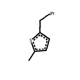 Cc1ccc(CC(C)C)s1